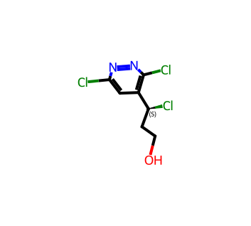 OCC[C@H](Cl)c1cc(Cl)nnc1Cl